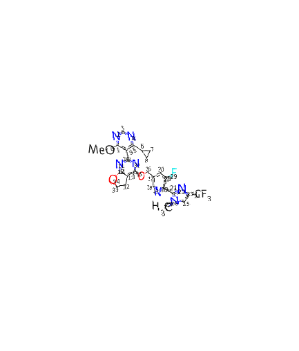 COc1ncnc(C2CC2)c1-c1nc2c(c(OCc3cnc(-c4nc(C(F)(F)F)cn4C)c(F)c3)n1)CCO2